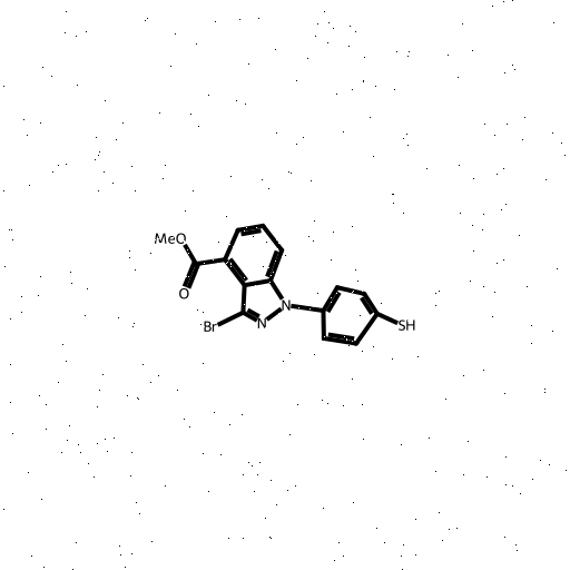 COC(=O)c1cccc2c1c(Br)nn2-c1ccc(S)cc1